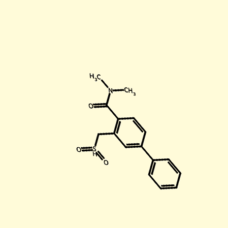 CN(C)C(=O)c1ccc(-c2ccccc2)cc1C[SH](=O)=O